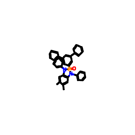 Cc1cc2c(cc1C)N(c1ccccc1)P(=O)(c1cc(-c3ccccc3)cc(-c3ccccc3)c1)N2c1ccccc1